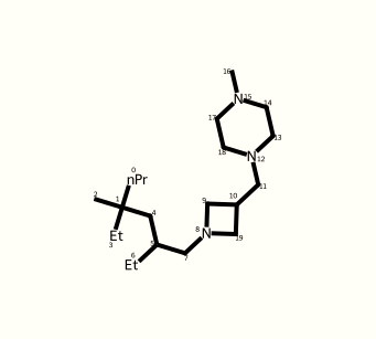 CCCC(C)(CC)CC(CC)CN1CC(CN2CCN(C)CC2)C1